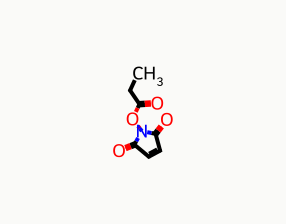 CCC(=O)ON1C(=O)C=CC1=O